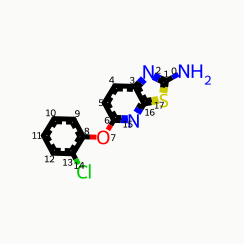 Nc1nc2ccc(Oc3ccccc3Cl)nc2s1